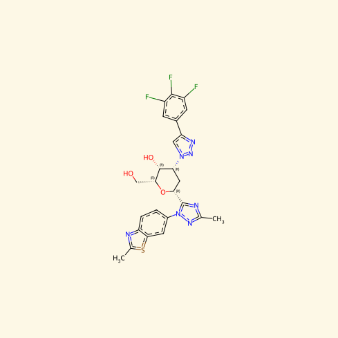 Cc1nc([C@H]2C[C@@H](n3cc(-c4cc(F)c(F)c(F)c4)nn3)[C@@H](O)[C@@H](CO)O2)n(-c2ccc3nc(C)sc3c2)n1